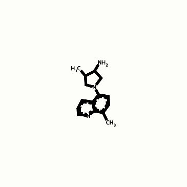 Cc1ccc(N2CC(C)C(N)C2)c2cccnc12